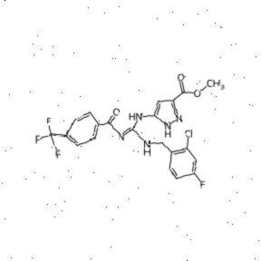 COC(=O)c1cc(N/C(=N\C(=O)c2ccc(C(F)(F)F)cc2)NCc2ccc(F)cc2Cl)[nH]n1